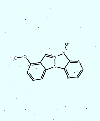 COc1cccc2c1c[n+]1n2-c2nccnc2[NH+]1[O-]